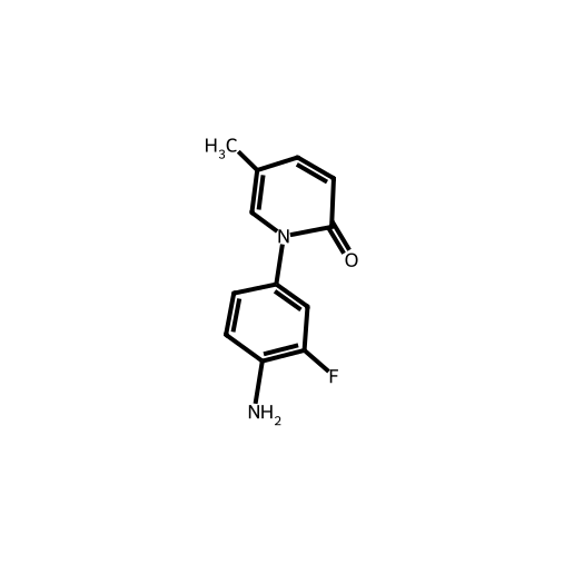 Cc1ccc(=O)n(-c2ccc(N)c(F)c2)c1